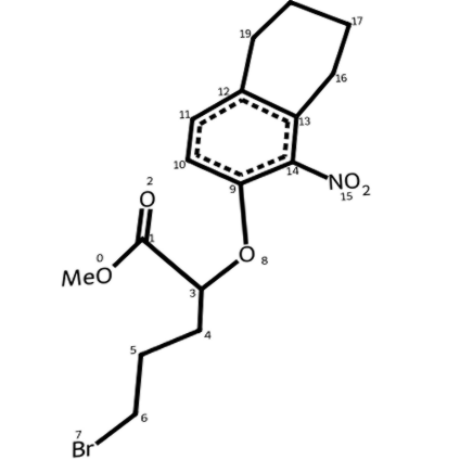 COC(=O)C(CCCBr)Oc1ccc2c(c1[N+](=O)[O-])CCCC2